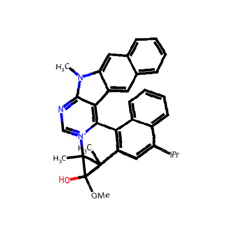 COC1(O)C2(C)c3cc(C(C)C)c4ccccc4c3-c3c4c5cc6ccccc6cc5n(C)c4nc[n+]3C12C